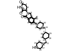 O=C1CCC(N2Cc3c(ccc(N4CCN(C[C@H]5CC[C@H](CN6CCNCC6)CC5)CC4)c3F)C2=O)C(=O)N1